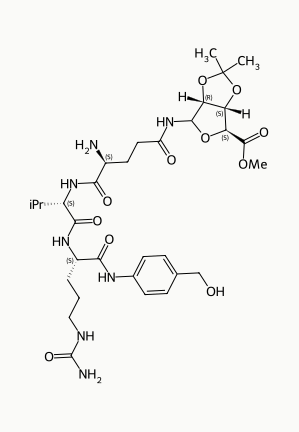 COC(=O)[C@H]1OC(NC(=O)CC[C@H](N)C(=O)N[C@H](C(=O)N[C@@H](CCCNC(N)=O)C(=O)Nc2ccc(CO)cc2)C(C)C)[C@@H]2OC(C)(C)O[C@H]12